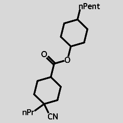 CCCCCC1CCC(OC(=O)C2CCC(C#N)(CCC)CC2)CC1